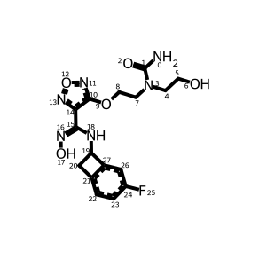 NC(=O)N(CCO)CCOc1nonc1/C(=N/O)NC1Cc2ccc(F)cc21